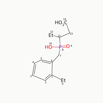 CCc1ccccc1CP(=O)(O)C(CC)CC(=O)O